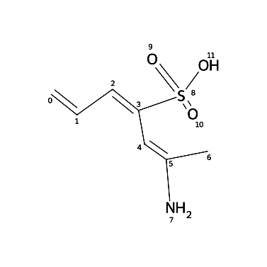 C=C/C=C(\C=C(/C)N)S(=O)(=O)O